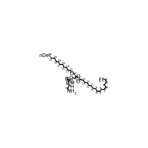 CC/C=C\C/C=C\C/C=C\CCCCCCCC(=O)O[C@H](COCCCCCCCCCCCCCCCCCCCC)COP(=O)(O)OCCN